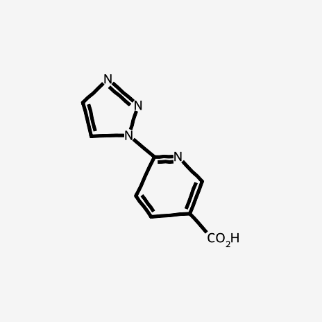 O=C(O)c1ccc(-n2ccnn2)nc1